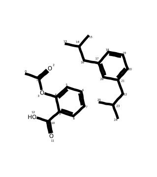 CC(=O)Oc1ccccc1C(=O)O.CC(C)Cc1cccc(CC(C)C)c1